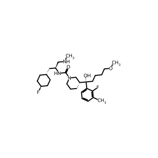 CNC[C@H](C[C@H]1CC[C@H](F)CC1)NC(=O)N1CCC[C@@H]([C@@](O)(CCCCOC)c2cccc(C)c2F)C1